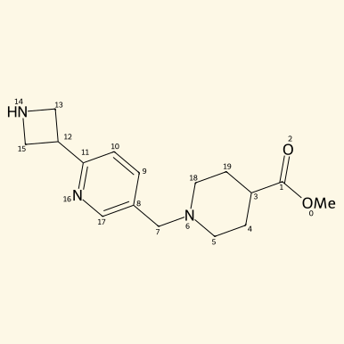 COC(=O)C1CCN(Cc2ccc(C3CNC3)nc2)CC1